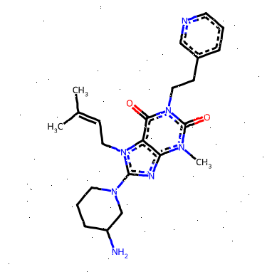 CC(C)=CCn1c(N2CCCC(N)C2)nc2c1c(=O)n(CCc1cccnc1)c(=O)n2C